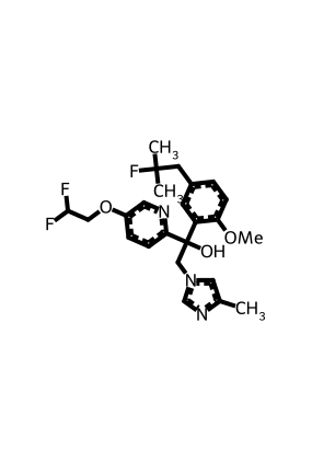 COc1ccc(CC(C)(C)F)cc1C(O)(Cn1cnc(C)c1)c1ccc(OCC(F)F)cn1